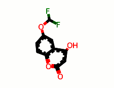 O=c1cc(O)c2cc(OC(F)F)ccc2o1